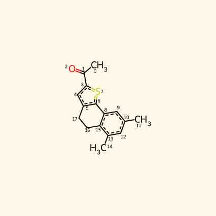 CC(=O)c1cc2c(s1)-c1cc(C)cc(C)c1CC2